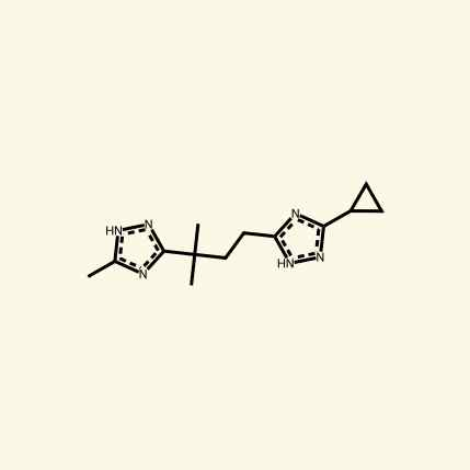 Cc1nc(C(C)(C)CCc2nc(C3CC3)n[nH]2)n[nH]1